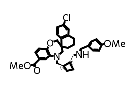 COC(=O)c1ccc2c(c1)N(C[C@@H]1CC[C@H]1CNCc1ccc(OC)cc1)CC1(CCCc3cc(Cl)ccc31)CO2